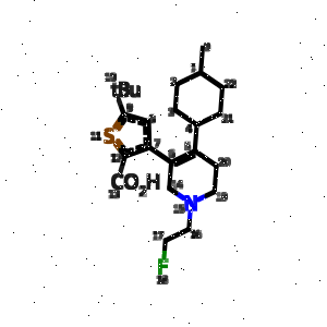 CC1CCC(C2=C(c3cc(C(C)(C)C)sc3C(=O)O)CN(CCF)CC2)CC1